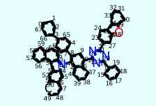 c1ccc(-c2ccc(-c3cc(-c4nc(-c5ccccc5)nc(-c5ccc6c(c5)oc5ccccc56)n4)c4ccccc4c3-n3c4cc5ccccc5cc4c4c5ccccc5ccc43)cc2)cc1